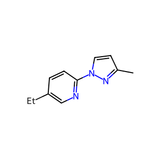 CCc1ccc(-n2ccc(C)n2)nc1